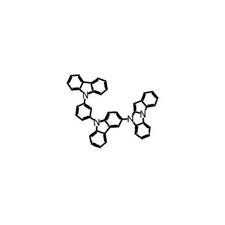 c1cc(-n2c3ccccc3c3ccccc32)cc(-n2c3ccccc3c3cc(-n4c5ccccc5n5c6ccccc6cc45)ccc32)c1